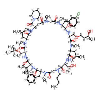 CCCCN1CC(=O)N(C)[C@@H](Cc2ccccc2)C(=O)N(C)[C@@H](C(C)C)C(=O)N[C@@H](COC(C)(C)C)C(=O)N(C)[C@@H](CC(C)C)C(=O)N[C@H](C(=O)N2CCCCC2)CC(=O)N(C)CC(=O)N(C)[C@@H](Cc2cccc(Cl)c2)C(O)N[C@@H](COCC[C@H](C)O)C(=O)N(C)C(CC(C)C)C(=O)N[C@@H]([C@@H](C)O)C1=O